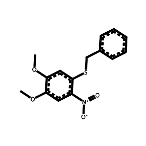 COc1cc(SCc2ccccc2)c([N+](=O)[O-])cc1OC